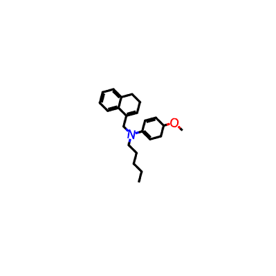 CCCCCN(CC1=CCCc2ccccc21)C1=CCC(OC)C=C1